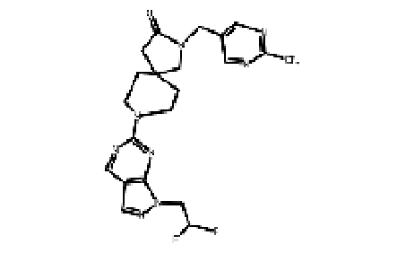 O=C1CC2(CCN(c3ncc4cnn(CC(F)F)c4n3)CC2)CN1Cc1cnc(C(F)(F)F)nc1